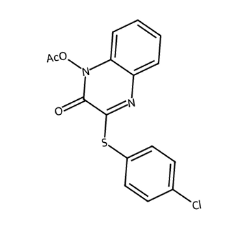 CC(=O)On1c(=O)c(Sc2ccc(Cl)cc2)nc2ccccc21